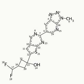 Cn1nnc2cc(-c3ncc4cc(C5(O)CC(C(F)F)C5)sc4n3)cnc21